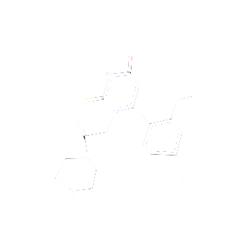 COc1ccc(-c2cc(=O)[nH]c(=S)n2CC(=O)N2CCNCC2)c(OC)c1